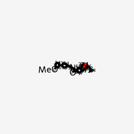 COc1cccc(-c2ccc(CCNC(=O)c3ccc4c(c3)[C@]3(C)CCC(CC5CC5)[C@H](C4)[C@@H]3C)cc2)c1